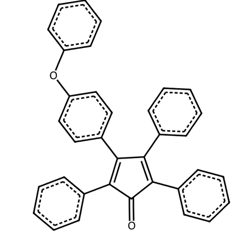 O=C1C(c2ccccc2)=C(c2ccccc2)C(c2ccc(Oc3ccccc3)cc2)=C1c1ccccc1